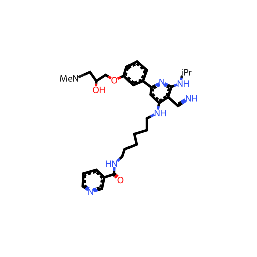 CNCC(O)COc1cccc(-c2cc(NCCCCCCNC(=O)c3cccnc3)c(C=N)c(NC(C)C)n2)c1